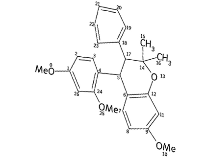 COc1ccc(C2c3ccc(OC)cc3OC(C)(C)C2c2ccccc2)c(OC)c1